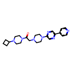 O=C(CN1CCN(c2cnc(-c3ccncc3)cn2)CC1)N1CCN(C2CCC2)CC1